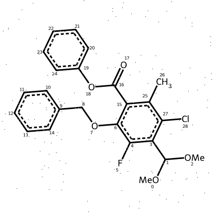 COC(OC)c1c(F)c(OCc2ccccc2)c(C(=O)Oc2ccccc2)c(C)c1Cl